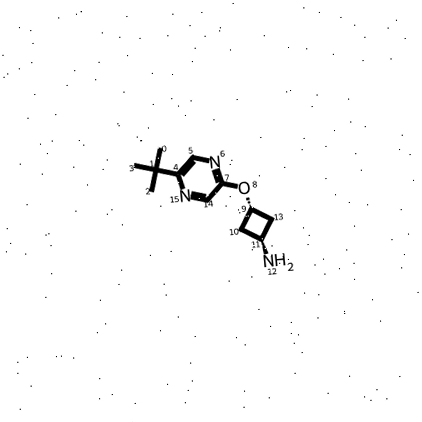 CC(C)(C)c1cnc(O[C@H]2C[C@H](N)C2)cn1